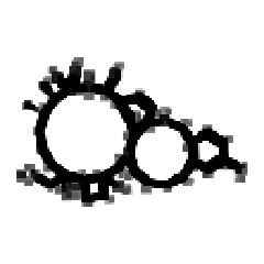 C[C@@H]1[C@@H](C)CCC[C@@](O)(CN)[C@@H]2CC[C@H]2CN2CCCCc3cc(Cl)ccc3COc3ccc(cc32)C(=O)NS1(=O)=O